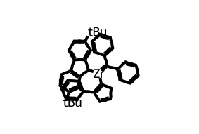 CC(C)(C)c1ccc2c(c1)[CH]([Zr]([C]1=C(c3ccccc3)C=CC1)=[C](c1ccccc1)c1ccccc1)c1cc(C(C)(C)C)ccc1-2